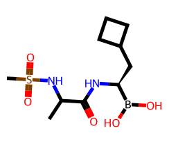 CC(NS(C)(=O)=O)C(=O)N[C@@H](CC1CCC1)B(O)O